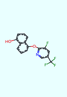 Oc1cccc2c(Oc3ncc(C(F)(F)F)cc3F)cccc12